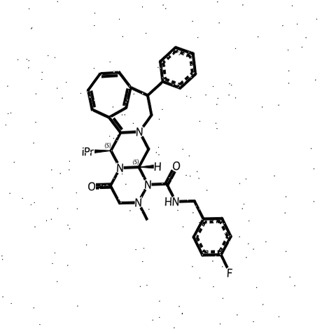 CC(C)[C@H]1C2=C3C=CC=CC(=C3)C(c3ccccc3)CN2C[C@H]2N1C(=O)CN(C)N2C(=O)NCc1ccc(F)cc1